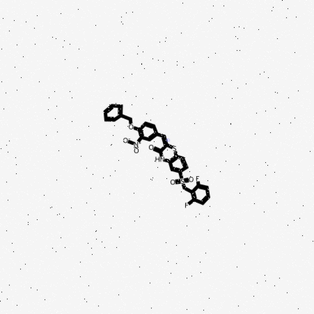 O=C1Nc2cc(S(=O)(=O)Cc3c(F)cccc3F)ccc2S/C1=C/c1ccc(OCc2ccccc2)c([N+](=O)[O-])c1